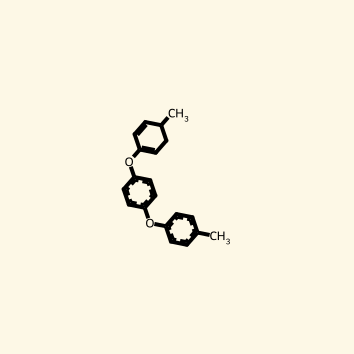 Cc1ccc(Oc2ccc(OC3=CCC(C)C=C3)cc2)cc1